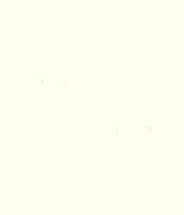 CC(NS(=O)(=O)CCCCCN1CC(=O)NC1=O)c1ccc(OCC2CC2)[nH]1